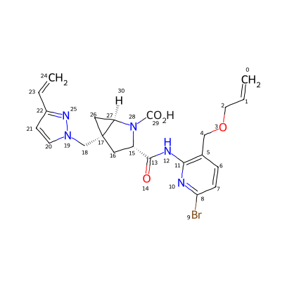 C=CCOCc1ccc(Br)nc1NC(=O)[C@@H]1C[C@@]2(Cn3ccc(C=C)n3)C[C@H]2N1C(=O)O